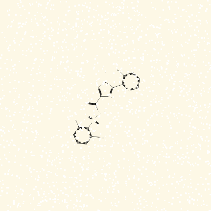 C[C@H]1C=C(C(=O)NS(=O)(=O)c2c(Cl)cccc2Br)N=C1c1ncccc1Cl